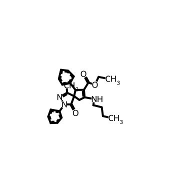 CCCCNC1=C(C(=O)OCC)C(c2ccccc2)C2(C1)C(=O)N(c1ccccc1)N=C2C